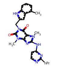 CCCc1nccc(Nc2nc3c(c(=O)n(Cc4cc5c(C)cccc5[nH]4)c(=O)n3C)n2C)n1